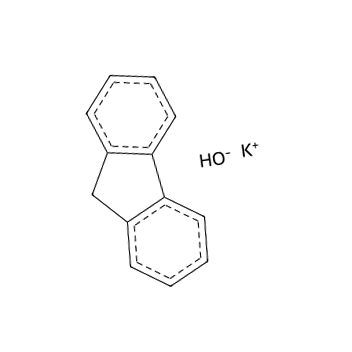 [K+].[OH-].c1ccc2c(c1)Cc1ccccc1-2